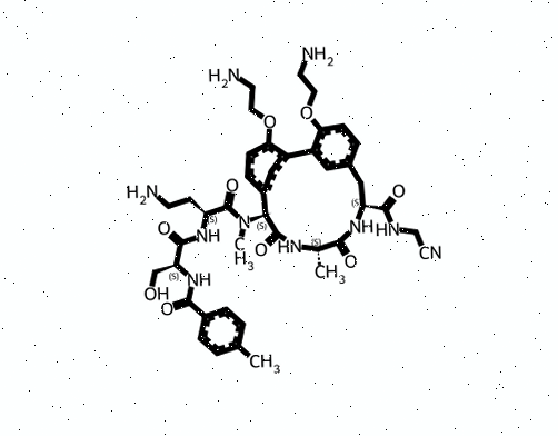 Cc1ccc(C(=O)N[C@@H](CO)C(=O)N[C@@H](CCN)C(=O)N(C)[C@@H]2C(=O)N[C@@H](C)C(=O)N[C@H](C(=O)NCC#N)Cc3ccc(OCCN)c(c3)-c3cc2ccc3OCCN)cc1